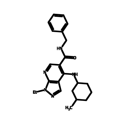 CCn1ncc2c(NC3CCCC(C)C3)c(C(=O)NCc3ccccc3)cnc21